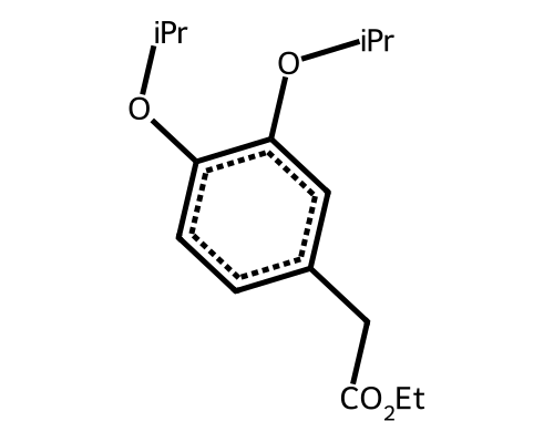 CCOC(=O)Cc1ccc(OC(C)C)c(OC(C)C)c1